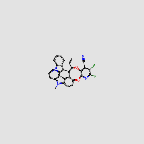 C=Cc1oc2c(C#N)c(F)c(F)nc2oc2ccc3c(c4ccccc4n3C)c2c1-c1c(C)n(C)c2ccccc12